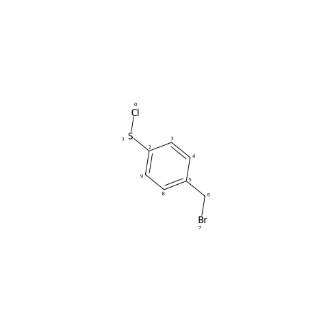 ClSc1ccc(CBr)cc1